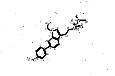 COc1ccc(-c2ccc3c(CCNS(=O)(=O)N(C)C)cn(CC(C)C)c3c2)cc1